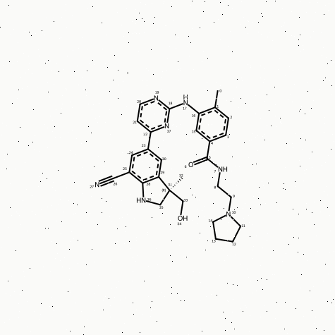 Cc1ccc(C(=O)NCCN2CCCC2)cc1Nc1nccc(-c2cc(C#N)c3c(c2)[C@@](C)(CO)CN3)n1